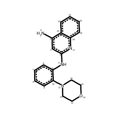 Nc1cc(Nc2ccccc2N2CCOCC2)nc2ccccc12